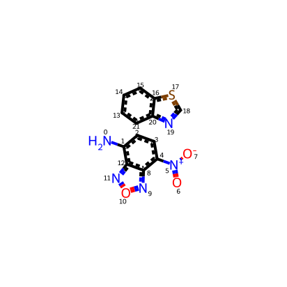 Nc1ccc([N+](=O)[O-])c2nonc12.c1ccc2scnc2c1